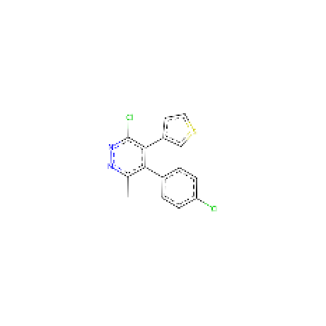 Cc1nnc(Cl)c(-c2ccsc2)c1-c1ccc(Cl)cc1